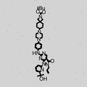 C=CCn1c(=O)c2cnc(Nc3ccc(N4CCN(C5CCC6(CC5)CN(C(=O)OC(C)(C)C)C6)CC4)cc3)nc2n1-c1cccc(C(C)(C)O)n1